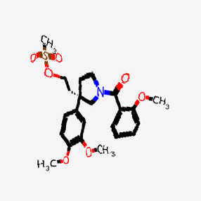 COc1ccc([C@@]2(CCOS(C)(=O)=O)CCN(C(=O)c3ccccc3OC)C2)cc1OC